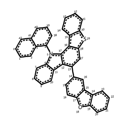 c1ccc2c(-n3c4ccccc4c4c(-c5ccc6oc7ccccc7c6c5)cc5sc6ccccc6c5c43)cccc2c1